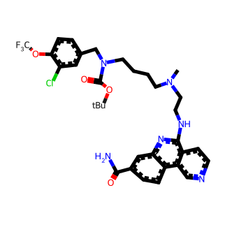 CN(CCCCN(Cc1ccc(OC(F)(F)F)c(Cl)c1)C(=O)OC(C)(C)C)CCNc1nc2cc(C(N)=O)ccc2c2cnccc12